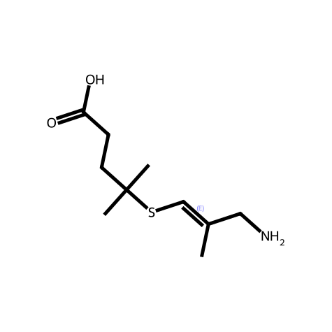 C/C(=C\SC(C)(C)CCC(=O)O)CN